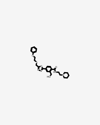 O=C(NCCN1CCCCC1)c1ccc(-c2nnc(CSCCOc3ccccc3)o2)cc1CO